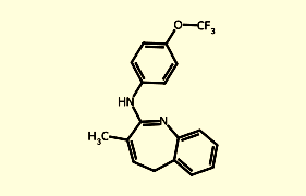 CC1=CCc2ccccc2N=C1Nc1ccc(OC(F)(F)F)cc1